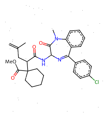 C=C(C)CC(C(=O)NC1N=C(c2ccc(Cl)cc2)c2ccccc2N(C)C1=O)C1(C(=O)OC)CCCCC1